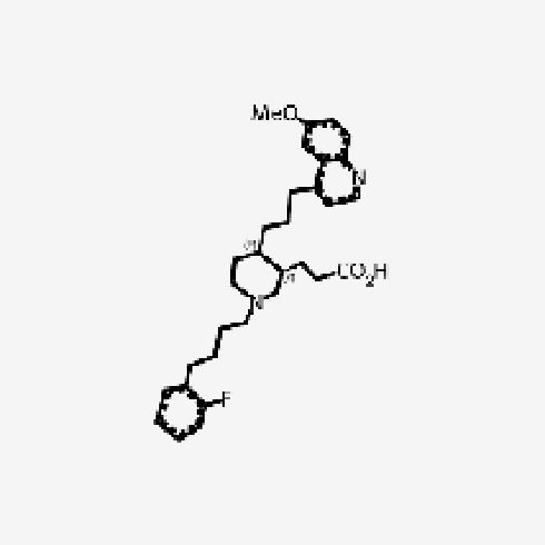 COc1ccc2nccc(CCC[C@@H]3CCN(CCCCc4ccccc4F)C[C@@H]3CCC(=O)O)c2c1